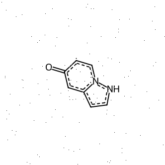 O=c1[c]cn2[nH]ccc2c1